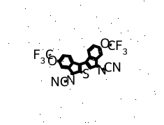 N#C/N=c1\c2cc(OC(F)(F)F)ccc2c2c1sc1/c(=N/C#N)c3cc(OC(F)(F)F)ccc3c12